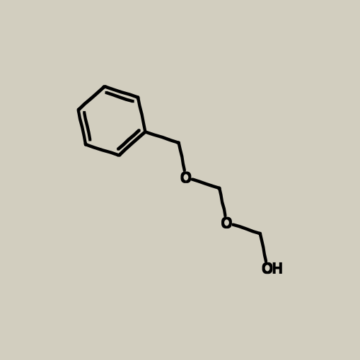 OCOCOCc1ccccc1